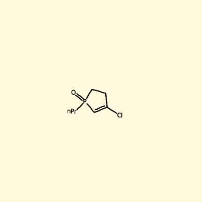 CCCP1(=O)C=C(Cl)CC1